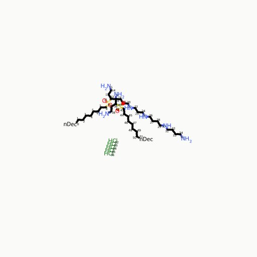 CCCCCCCCCCCCCCCCCCS(=O)(=O)C(CCN)C(N)(CCCNCCCNCCCCNCCCCN)C(CCN)S(=O)(=O)CCCCCCCCCCCCCCCCCC.Cl.Cl.Cl.Cl.Cl